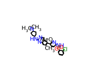 COc1nc(NS(=O)(=O)c2ccccc2Cl)ccc1-c1cc2cnc(N[C@H]3CC[C@H](N(C)C)CC3)nc2cc1C